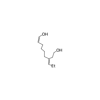 CC/C=C(\CCO)CCCC/C=C\O